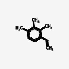 C=[C]c1ccc(C)c(C)c1C